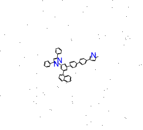 Cc1ccc(-c2ccc(-c3ccc(-c4cc(-c5nc(-c6ccccc6)cc(-c6ccccc6)n5)cc(-c5cccc6ccccc56)c4)cc3)cc2)cn1